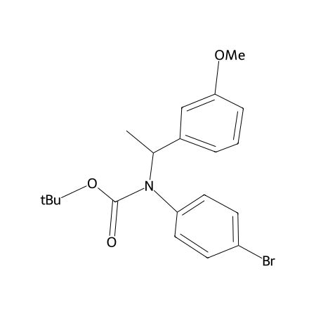 COc1cccc(C(C)N(C(=O)OC(C)(C)C)c2ccc(Br)cc2)c1